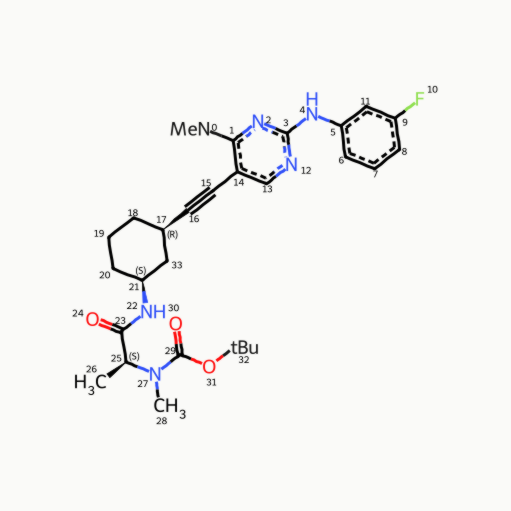 CNc1nc(Nc2cccc(F)c2)ncc1C#C[C@@H]1CCC[C@H](NC(=O)[C@H](C)N(C)C(=O)OC(C)(C)C)C1